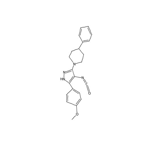 COc1ccc(-c2[nH]nc(N3CCC(c4ccccc4)CC3)c2N=C=O)cc1